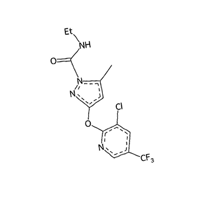 CCNC(=O)n1nc(Oc2ncc(C(F)(F)F)cc2Cl)cc1C